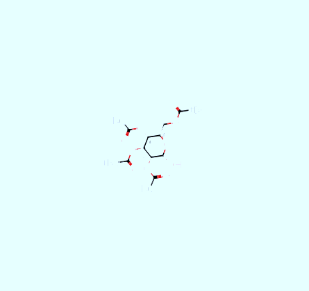 CC(C)(C)C(=O)OC[C@H]1O[C@H](O)[C@@H](OC(=O)C(C)(C)C)[C@@H](OC(=O)C(C)(C)C)[C@@H]1OC(=O)C(C)(C)C